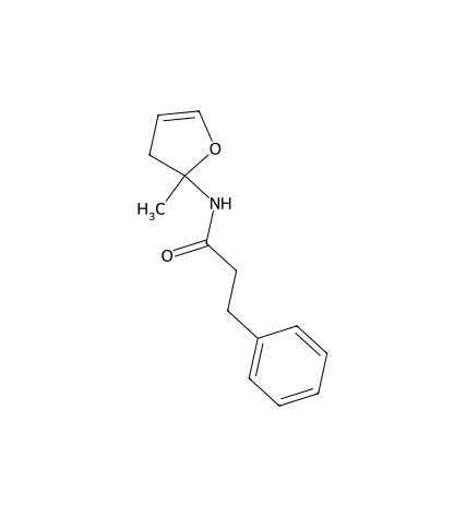 CC1(NC(=O)CCc2ccccc2)CC=CO1